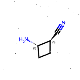 N#C[C@H]1CC[C@@H]1N